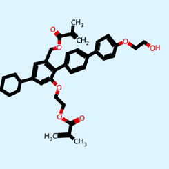 C=C(C)C(=O)OCCOc1cc(C2CCCCC2)cc(COC(=O)C(=C)C)c1-c1ccc(-c2ccc(OCCO)cc2)cc1